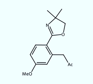 COc1ccc(C2=NC(C)(C)CO2)c(CC(C)=O)c1